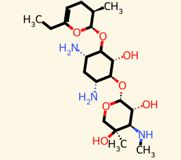 CCC1=CC[C@@H](C)[C@@H](OC2[C@@H](N)C[C@@H](N)[C@H](O[C@H]3OC[C@](C)(O)[C@H](NC)[C@H]3O)[C@H]2O)O1